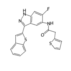 O=C(Cc1cccs1)Nc1cc2c(-c3cc4ccccc4s3)n[nH]c2cc1F